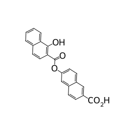 O=C(O)c1ccc2cc(OC(=O)c3ccc4ccccc4c3O)ccc2c1